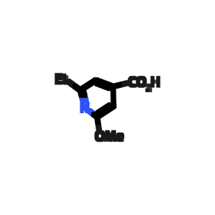 CCc1cc(C(=O)O)cc(OC)n1